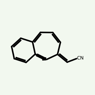 N#CC=C1C=CC=C2C=CC=CC23CC=CC=C13